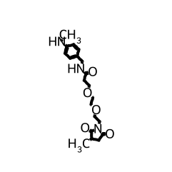 CNc1ccc(CNC(=O)CCOCCOCCN2C(=O)CC(C)C2=O)cc1